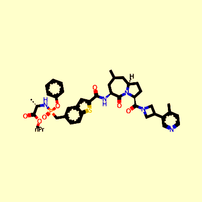 CCCOC(=O)[C@H](C)NP(=O)(Cc1ccc2sc(C(=O)N[C@H]3CC(C)C[C@H]4CC[C@@H](C(=O)N5CC(c6cnccc6C)C5)N4C3=O)cc2c1)Oc1ccccc1